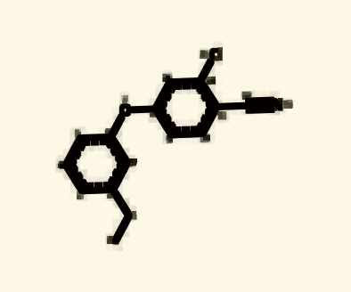 CCc1cccc(Oc2ccc(C#N)c(Cl)c2)c1